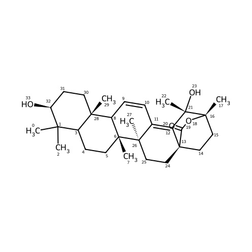 CC1(C)C2CC[C@]3(C)C(C=CC4=C5[C@]6(CC[C@](C)(OC6=O)[C@@]5(C)O)CC[C@]43C)[C@@]2(C)CC[C@@H]1O